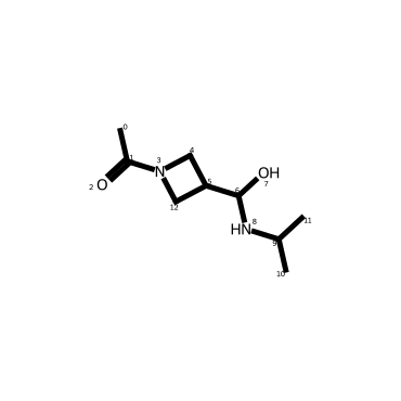 CC(=O)N1CC(C(O)NC(C)C)C1